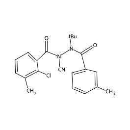 Cc1cccc(C(=O)N(N(C#N)C(=O)c2cccc(C)c2Cl)C(C)(C)C)c1